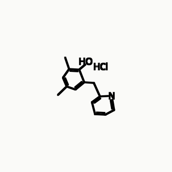 Cc1cc(C)c(O)c(Cc2ccccn2)c1.Cl